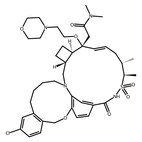 C[C@@H]1[C@@H](C)C/C=C/[C@@](CC(=O)N(C)C)(OCCN2CCOCC2)[C@@H]2CC[C@H]2CN2CCCCc3cc(Cl)ccc3COc3ccc(cc32)C(=O)NS1(=O)=O